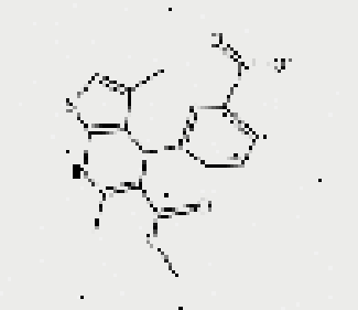 COC(=O)C1=C(C)Nc2scc(C)c2C1c1cccc([N+](=O)[O-])c1